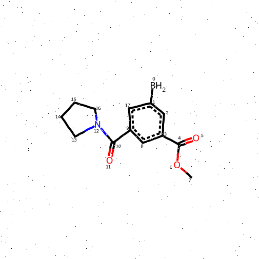 Bc1cc(C(=O)OC)cc(C(=O)N2CCCC2)c1